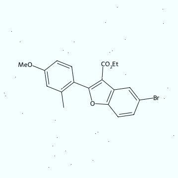 CCOC(=O)c1c(-c2ccc(OC)cc2C)oc2ccc(Br)cc12